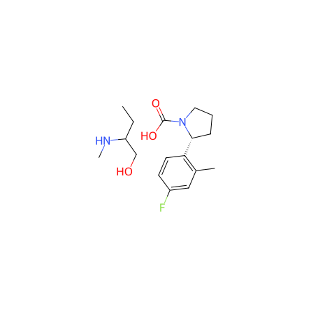 CCC(CO)NC.Cc1cc(F)ccc1[C@H]1CCCN1C(=O)O